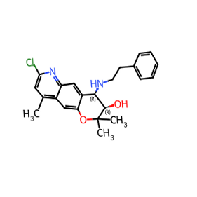 Cc1cc(Cl)nc2cc3c(cc12)OC(C)(C)[C@H](O)[C@@H]3NCCc1ccccc1